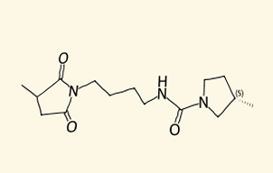 CC1CC(=O)N(CCCCNC(=O)N2CC[C@H](C)C2)C1=O